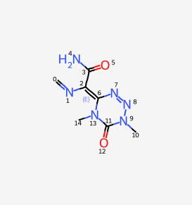 C=N/C(C(N)=O)=C1/N=NN(C)C(=O)N1C